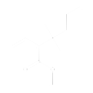 C=CC(C(=O)OC)C(C)(C)CCC